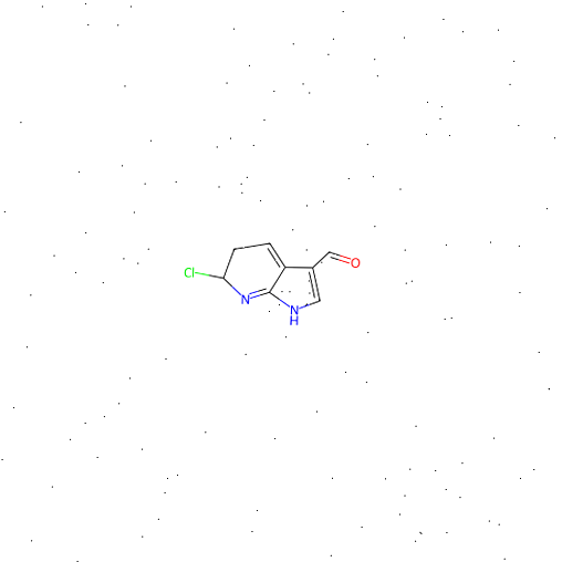 O=Cc1c[nH]c2c1=CCC(Cl)N=2